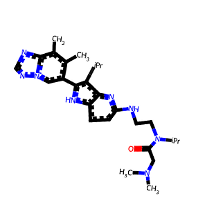 Cc1c(-c2[nH]c3ccc(NCCN(C(=O)CN(C)C)C(C)C)nc3c2C(C)C)cn2ncnc2c1C